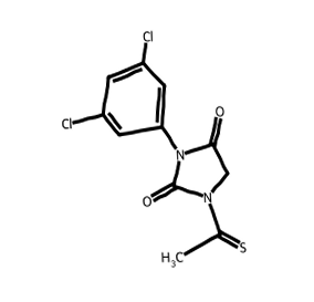 CC(=S)N1CC(=O)N(c2cc(Cl)cc(Cl)c2)C1=O